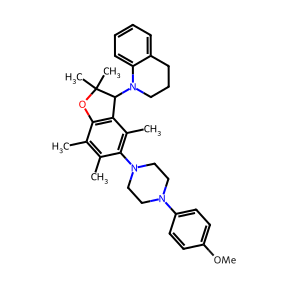 COc1ccc(N2CCN(c3c(C)c(C)c4c(c3C)C(N3CCCc5ccccc53)C(C)(C)O4)CC2)cc1